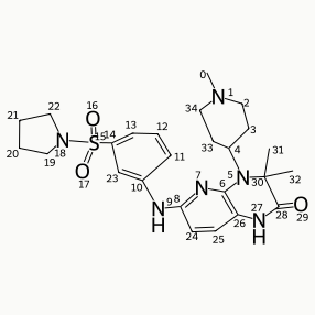 CN1CCC(N2c3nc(Nc4cccc(S(=O)(=O)N5CCCC5)c4)ccc3NC(=O)C2(C)C)CC1